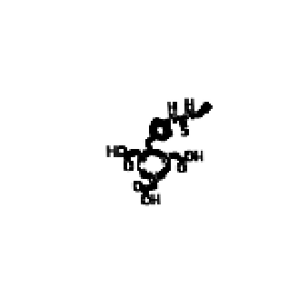 C#CCNC(=S)Nc1ccc(CC2CN(CC(=O)O)CCN(CC(=O)O)CCN2CC(=O)O)cc1